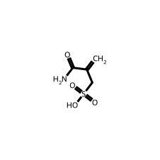 C=C(CS(=O)(=O)O)C(N)=O